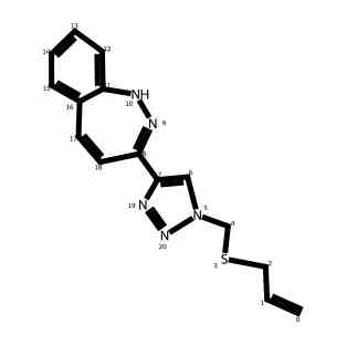 C=CCSCn1cc(C2=NNc3ccccc3C=C2)nn1